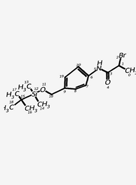 CC(Br)C(=O)Nc1ccc(CO[Si](C)(C)C(C)(C)C)cc1